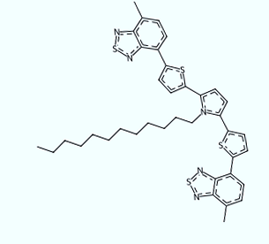 CCCCCCCCCCCCn1c(-c2ccc(-c3ccc(C)c4nsnc34)s2)ccc1-c1ccc(-c2ccc(C)c3nsnc23)s1